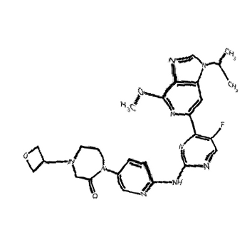 COc1nc(-c2nc(Nc3ccc(N4CCN(C5COC5)CC4=O)cn3)ncc2F)cc2c1ncn2C(C)C